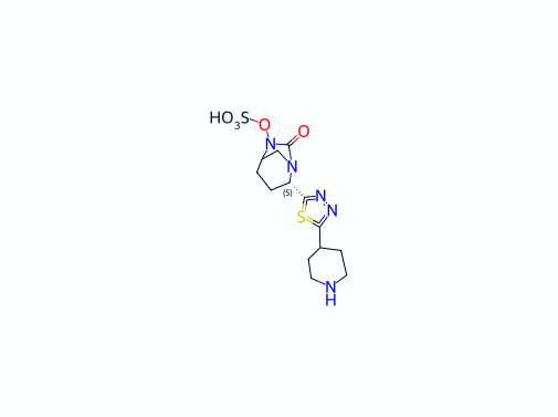 O=C1N(OS(=O)(=O)O)C2CC[C@@H](c3nnc(C4CCNCC4)s3)N1C2